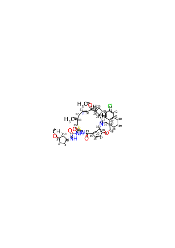 CO[C@@H]1CC[C@@H](NC(=O)N[S@@]2(=O)=NC(=O)c3ccc4c(c3)N(C[C@@H]3CC[C@H]3[C@@H](OC)/C=C/C[C@H](C)C2)C[C@@]2(CCCc3cc(Cl)ccc32)CO4)C1